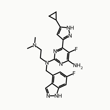 CN(C)CCN(Cc1cc(F)cc2[nH]ncc12)c1nc(N)c(F)c(-c2cc(C3CC3)[nH]n2)n1